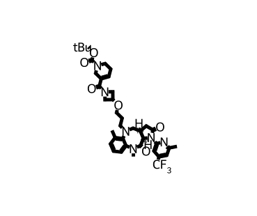 Cc1cc(C(F)(F)F)cc(N2C(=O)C[C@@H]3CN(CCCOC4CN(C(=O)C5=CCCN(C(=O)OC(C)(C)C)C5)C4)c4c(C)cccc4N(C)C(=O)[C@H]32)n1